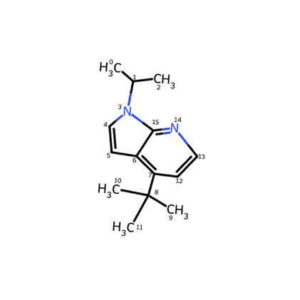 CC(C)n1ccc2c(C(C)(C)C)ccnc21